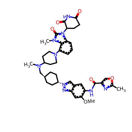 COc1cc2nn([C@H]3CC[C@H](CN(C)C4CCN(c5cccc6c5n(C)c(=O)n6C5CCC(=O)NC5=O)CC4)CC3)cc2cc1NC(=O)c1coc(C)n1